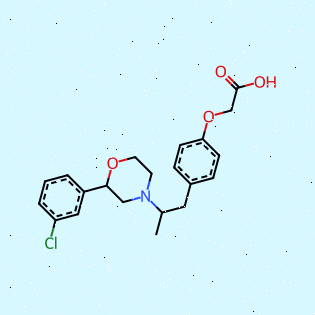 CC(Cc1ccc(OCC(=O)O)cc1)N1CCOC(c2cccc(Cl)c2)C1